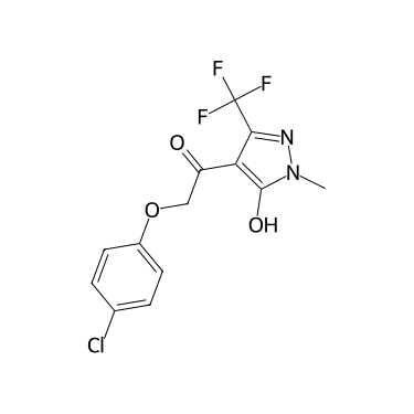 Cn1nc(C(F)(F)F)c(C(=O)COc2ccc(Cl)cc2)c1O